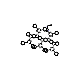 C#C/C=C\C=C(/C)c1nc(-c2ccccc2)nc(-n2c3cc4c5ccccc5n(-c5nc(-c6ccccc6)nc(-c6ccccc6)n5)c4cc3c3cc4c(cc32)c2cc3c(cc2n4-c2nc(-c4ccccc4)nc(-c4ccccc4)n2)c2cc4c(cc2n3-c2nc(-c3ccccc3)nc(-c3ccccc3)n2)c2ccccc2n4-c2nc(-c3ccccc3)nc(-c3ccccc3)n2)n1